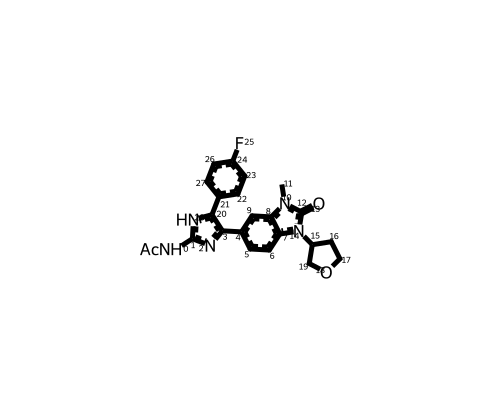 CC(=O)Nc1nc(-c2ccc3c(c2)n(C)c(=O)n3C2CCOC2)c(-c2ccc(F)cc2)[nH]1